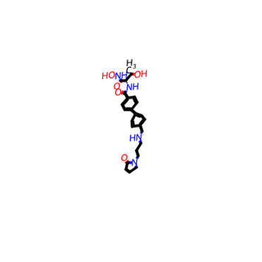 C[C@@H](O)[C@H](NC(=O)c1ccc(-c2ccc(CNCCCN3CCCC3=O)cc2)cc1)C(=O)NO